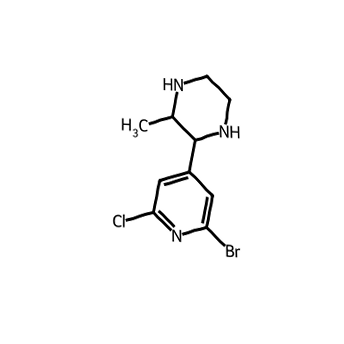 CC1NCCNC1c1cc(Cl)nc(Br)c1